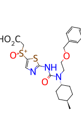 C[C@H]1CC[C@H](N(CCOCc2ccccc2)C(=O)Nc2ncc([S+]([O-])CC(=O)O)s2)CC1